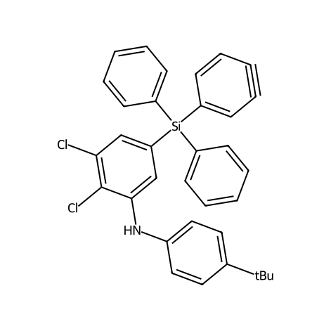 CC(C)(C)c1ccc(Nc2cc([Si](c3cc#ccc3)(c3ccccc3)c3ccccc3)cc(Cl)c2Cl)cc1